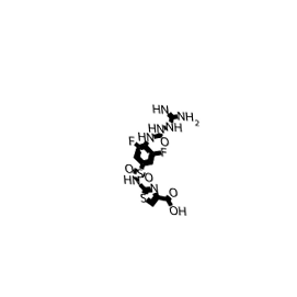 N=C(N)NNC(=O)Nc1c(F)cc(S(=O)(=O)Nc2nc(C(=O)O)cs2)cc1F